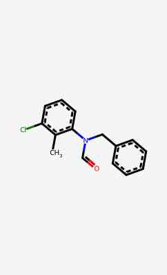 Cc1c(Cl)cccc1N(C=O)Cc1ccccc1